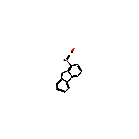 O=[C]=[Ni]([Br])[c]1cccc2c1Cc1ccccc1-2